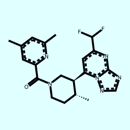 Cc1cc(C)nc(C(=O)N2CC[C@@H](C)[C@H](c3cc(C(F)F)nc4ncnn34)C2)c1